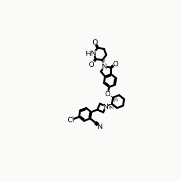 N#Cc1cc(Cl)ccc1C1CN([C@@H]2CCCC[C@H]2Oc2ccc3c(c2)CN([C@H]2CCC(=O)NC2=O)C3=O)C1